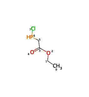 CCOC(=O)CPCl